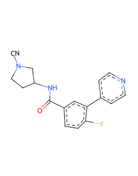 N#CN1CCC(NC(=O)c2ccc(F)c(-c3ccncc3)c2)C1